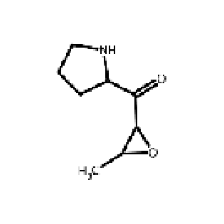 CC1OC1C(=O)C1CCCN1